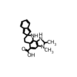 CC1Nc2c(cc(C(=O)O)c3c2NC2(C=c4ccccc4=C2)CC3)N1C